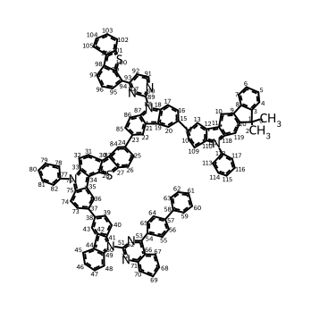 CC1(C)c2ccccc2-c2cc3c4cc(-c5ccc6c(c5)c5cc(-c7ccc8sc9c(ccc%10c9c9cc(-c%11ccc%12c(c%11)c%11ccccc%11n%12-c%11nc(-c%12ccc(-c%13ccccc%13)cc%12)c%12ccccc%12n%11)ccc9n%10-c9ccccc9)c8c7)ccc5n6-c5nccc(-c6cccc7c6sc6ccccc67)n5)ccc4n(-c4ccccc4)c3cc21